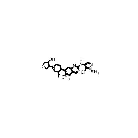 Cc1cc2cnc(Nc3cnn(C)c3Cl)nc2cc1C1CCN(C2COCC2O)CC1F